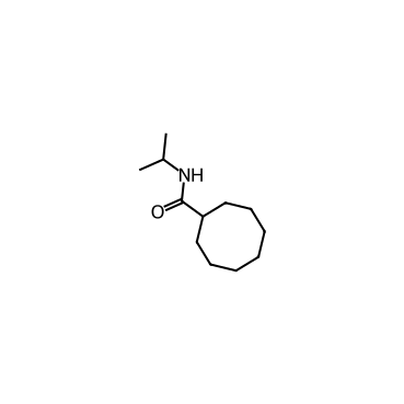 CC(C)NC(=O)C1CCCCCCC1